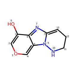 OC1=COC=c2c1nc1n2NCCC=1